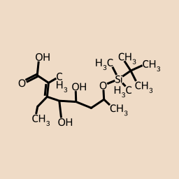 CCC(=C(C)C(=O)O)C(O)C(O)CC(C)O[Si](C)(C)C(C)(C)C